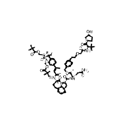 C/C(=C\C(=O)N[C@H]1CCc2cccc3c2N(C1=O)[C@H](C(=O)N[C@@H](CCC(N)=O)[C@@H](C)OCc1ccc(CCOCC(=O)N[C@H](C(=O)N2CC[C@@H](O)C2)C(C)(C)C)cc1)C3)c1ccc(C(F)(F)P(=O)(OCOC(=O)C(C)(C)C)OCOC(=O)C(C)(C)C)cc1